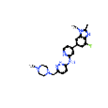 CCN1CCN(Cc2ccc(Nc3cc(-c4cc(F)c5nc(C)n(C(C)C)c5c4)ccn3)nn2)CC1